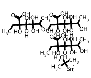 CCC(O)(C(=O)O)C(O)(O)C(O)(O)C(C)O.CCC(O)(C(=O)O)C(O)(O)C(O)(O)C(C)O.CCC(O)(C(=O)O)C(O)(O)C(O)(O)C(C)O.C[C](C)(C)[Sn]